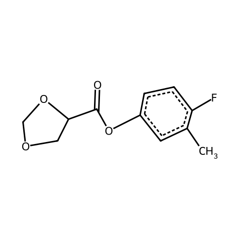 Cc1cc(OC(=O)C2COCO2)ccc1F